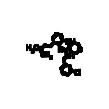 CN(C)CCc1cccc2c1N=C(NCc1cccc(Cl)c1)C1(CCOCC1)N2